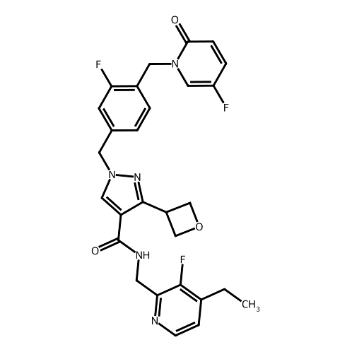 CCc1ccnc(CNC(=O)c2cn(Cc3ccc(Cn4cc(F)ccc4=O)c(F)c3)nc2C2COC2)c1F